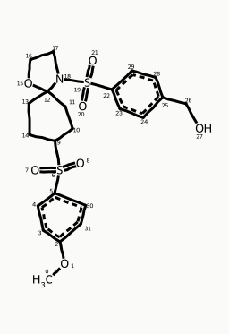 COc1ccc(S(=O)(=O)C2CCC3(CC2)OCCN3S(=O)(=O)c2ccc(CO)cc2)cc1